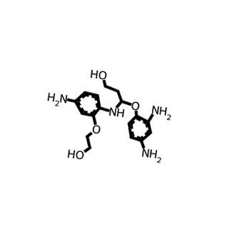 Nc1ccc(OC(CCO)Nc2ccc(N)cc2OCCO)c(N)c1